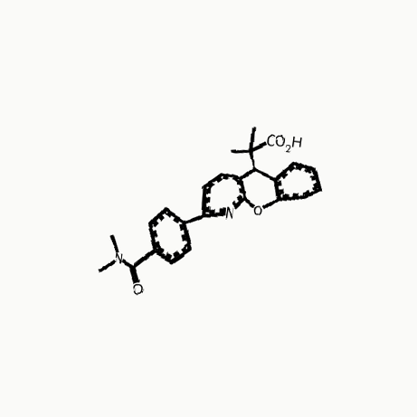 CN(C)C(=O)c1ccc(-c2ccc3c(n2)Oc2ccccc2[C@@H]3C(C)(C)C(=O)O)cc1